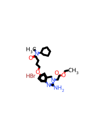 Br.CCOC(=O)CN1Cc2cc(OCCCC(=O)N(C)C3CCCCC3)ccc2N=C1N